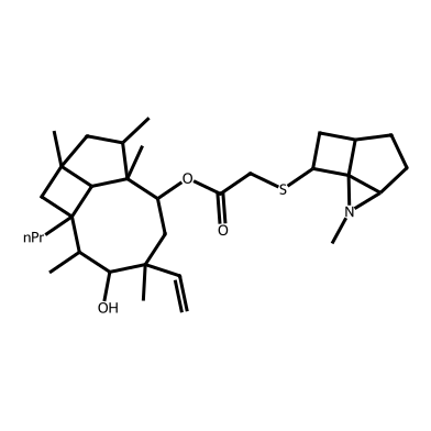 C=CC1(C)CC(OC(=O)CSC2CC3CCC4N(C)C324)C2(C)C(C)CC3(C)CC(CCC)(C(C)C1O)C32